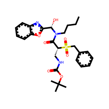 CCCCN(C(=O)[C@@H](CNC(=O)OC(C)(C)C)S(=O)(=O)Cc1ccccc1)[C@@H](O)c1nc2ccccc2o1